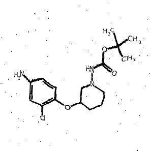 CC(C)(C)OC(=O)NN1CCCC(Oc2ccc(N)cc2Cl)C1